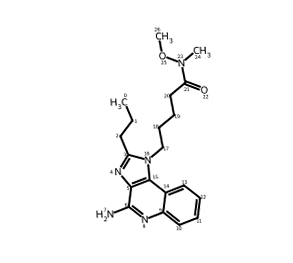 CCCc1nc2c(N)nc3ccccc3c2n1CCCCC(=O)N(C)OC